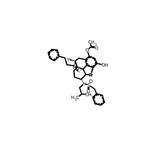 CC(=O)Oc1cc(O)c2c3c1C[C@@H]1[C@@H]4CC[C@@H](N(CC(C)C)S(=O)(=O)Cc5ccccc5)[C@H](O2)[C@]34CCN1CCc1ccccc1